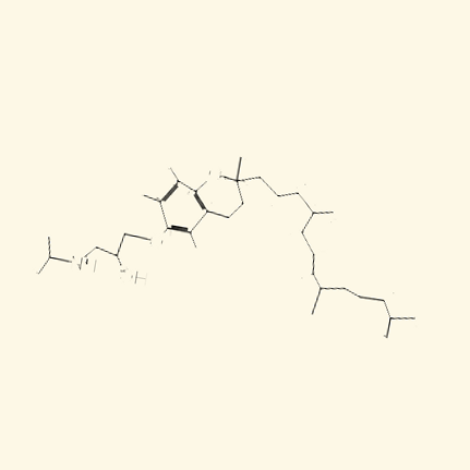 Cc1c(C)c2c(c(C)c1OCC(O)CNC(C)C)CCC(C)(CCCC(C)CCCC(C)CCCC(C)C)O2